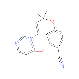 CC1(C)C=C(n2cnccc2=O)c2cc(C#N)ccc2O1